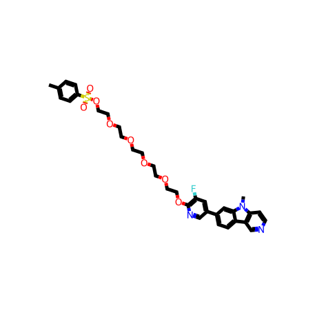 Cc1ccc(S(=O)(=O)OCCOCCOCCOCCOCCOc2ncc(-c3ccc4c5cnccc5n(C)c4c3)cc2F)cc1